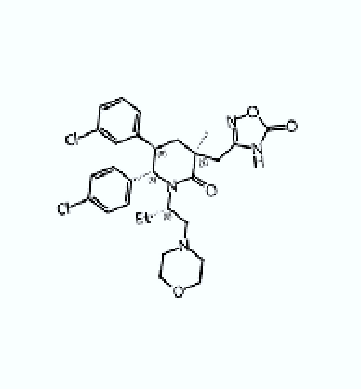 CC[C@@H](CN1CCOCC1)N1C(=O)[C@](C)(Cc2noc(=O)[nH]2)C[C@H](c2cccc(Cl)c2)[C@H]1c1ccc(Cl)cc1